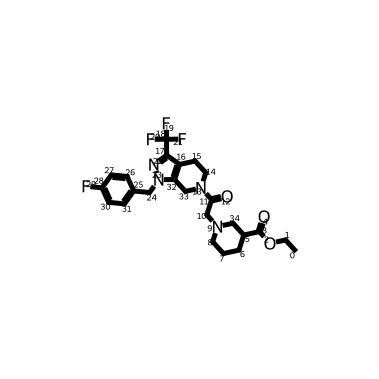 CCOC(=O)C1CCCN(CC(=O)N2CCc3c(C(F)(F)F)nn(Cc4ccc(F)cc4)c3C2)C1